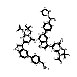 CC(C)N1c2nc(-c3c[nH]c4ccc(-c5ccc(CN)cc5)cc34)cc(=O)n2CC1(C)C.CC(c1ccc(-c2ccc3[nH]cc(-c4cc(=O)n5c(n4)N(C(C)C)C(C)(C)C5)c3c2)cc1)N1CCCC1